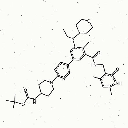 CCN(c1cc(-c2ccc(N3CCC(NC(=O)OC(C)(C)C)CC3)nc2)cc(C(=O)NCc2c(C)cc(C)[nH]c2=O)c1C)C1CCOCC1